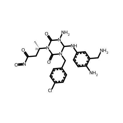 C[C@@H](CC(=O)N=O)N1C(=O)N(N)C(Nc2ccc(N)c(CN)c2)N(Cc2ccc(Cl)cc2)C1=O